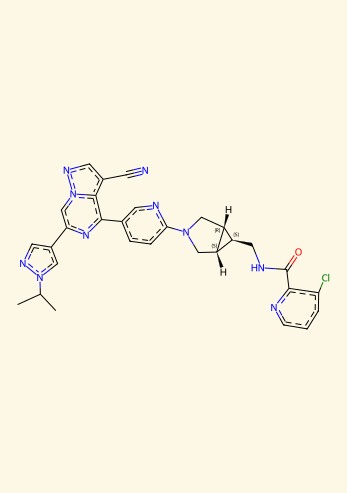 CC(C)n1cc(-c2cn3ncc(C#N)c3c(-c3ccc(N4C[C@@H]5[C@@H](CNC(=O)c6ncccc6Cl)[C@@H]5C4)nc3)n2)cn1